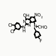 O=CN(Cc1ccc(F)cc1)c1cc([N+](=O)[O-])cc2c(O)nc(Nc3ccc(Cl)c(Cl)c3)nc12